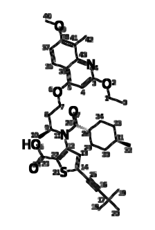 CCOc1cc(OCC[C@H](C)N(c2cc(C#CC(C)(C)C)sc2C(=O)O)C(=O)[C@H]2CC[C@H](C)CC2)c2ccc(OC)c(C)c2n1